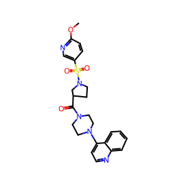 COc1ccc(S(=O)(=O)N2CCC(C(=O)N3CCN(c4ccnc5ccccc45)CC3)C2)cn1